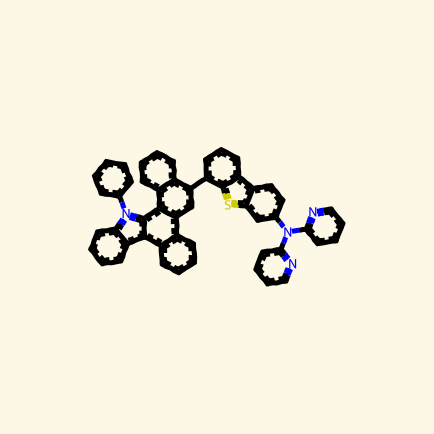 c1ccc(-n2c3ccccc3c3c4ccccc4c4cc(-c5cccc6c5sc5cc(N(c7ccccn7)c7ccccn7)ccc56)c5ccccc5c4c32)cc1